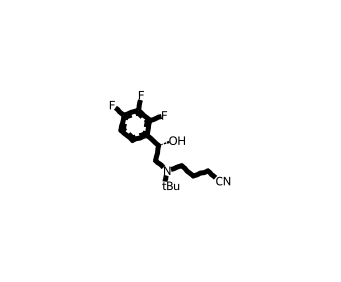 CC(C)(C)N(CCCC#N)C[C@@H](O)c1ccc(F)c(F)c1F